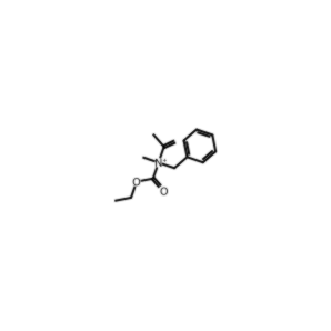 C=C(C)[N+](C)(Cc1ccccc1)C(=O)OCC